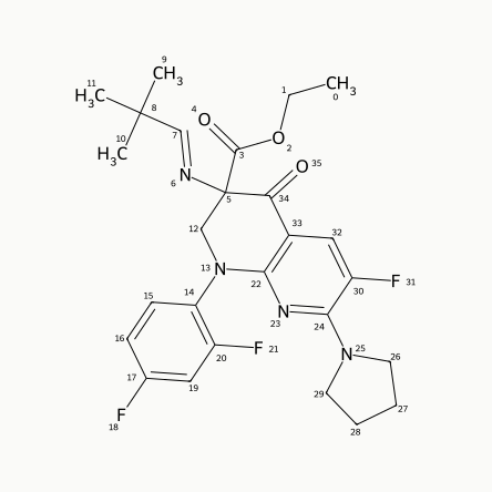 CCOC(=O)C1(N=CC(C)(C)C)CN(c2ccc(F)cc2F)c2nc(N3CCCC3)c(F)cc2C1=O